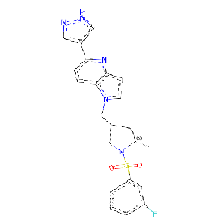 C[C@H]1CC(Cn2ccc3nc(-c4cn[nH]c4)ccc32)CN1S(=O)(=O)c1cccc(F)c1